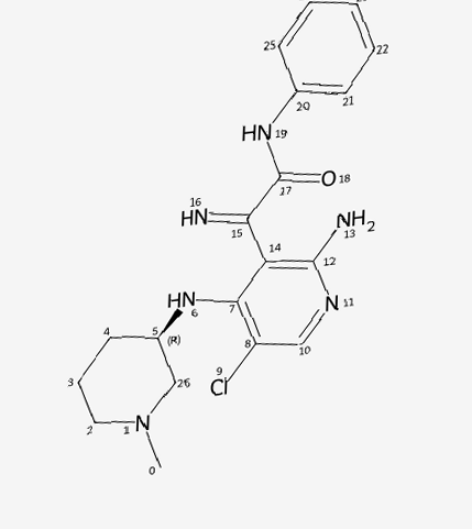 CN1CCC[C@@H](Nc2c(Cl)cnc(N)c2C(=N)C(=O)Nc2ccccc2)C1